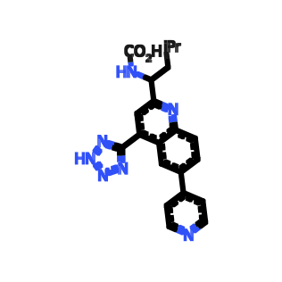 CC(C)CC(NC(=O)O)c1cc(-c2nn[nH]n2)c2cc(-c3ccncc3)ccc2n1